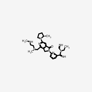 CCN(C=N)C(=N)c1cccc(N2Cc3c(cc(N4CCC[C@H]4C)nc3CN(C)CCNC)C2=O)n1